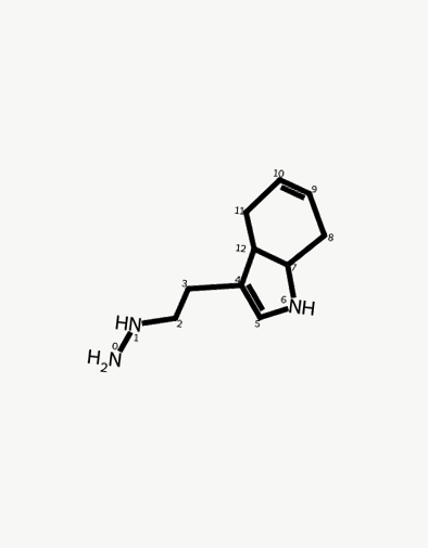 NNCCC1=CNC2CC=CCC12